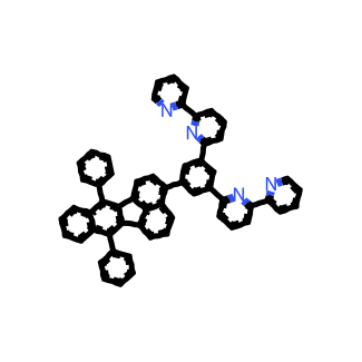 c1ccc(-c2c3c(c(-c4ccccc4)c4ccccc24)-c2ccc(-c4cc(-c5cccc(-c6ccccn6)n5)cc(-c5cccc(-c6ccccn6)n5)c4)c4cccc-3c24)cc1